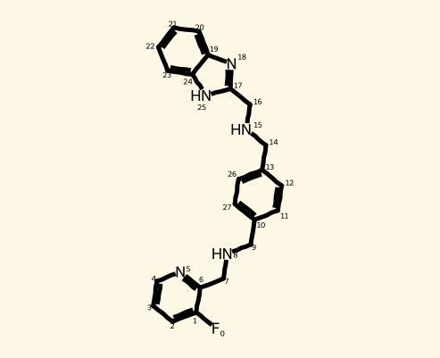 Fc1cccnc1CNCc1ccc(CNCc2nc3ccccc3[nH]2)cc1